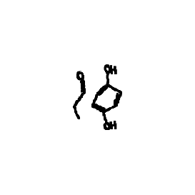 CCC=O.Oc1ccc(O)cc1